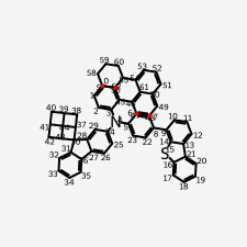 c1ccc(N(c2ccc(-c3cccc4c3sc3ccccc34)cc2)c2ccc3c(c2)C2(c4ccccc4-3)C3CC4CC5CC2C453)c(-c2cccc3cccc(C4CCCCC4)c23)c1